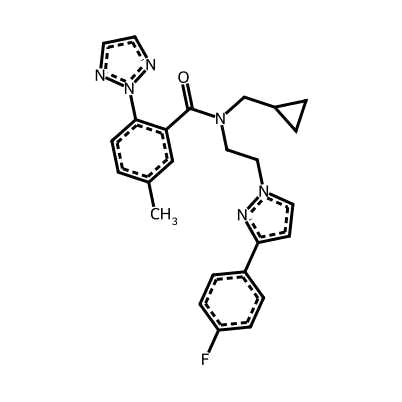 Cc1ccc(-n2nccn2)c(C(=O)N(CCn2ccc(-c3ccc(F)cc3)n2)CC2CC2)c1